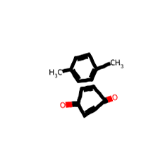 Cc1ccc(C)cc1.O=C1C=CC(=O)C=C1